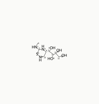 CNC1N[C@H](C(O)C(O)C(O)CO)CNS1